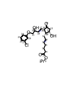 CC(C)OC(=O)CCC/C=C/C[C@H]1[C@@H](O)CC(=O)[C@@H]1/C=C/[C@@H](O)COc1cccc(Cl)c1